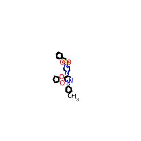 Cc1ccc(-n2ncc(N3CCN(S(=O)(=O)Cc4ccccc4)CC3)c(OC3CCCC3)c2=O)cc1